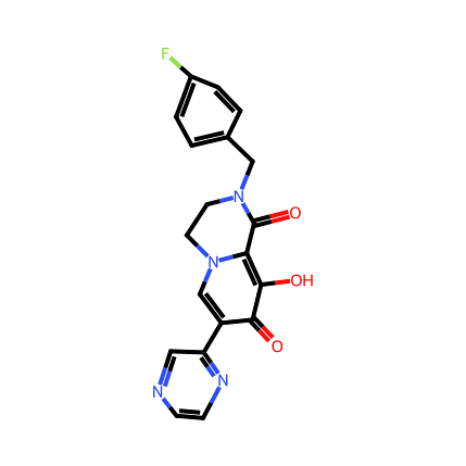 O=C1c2c(O)c(=O)c(-c3cnccn3)cn2CCN1Cc1ccc(F)cc1